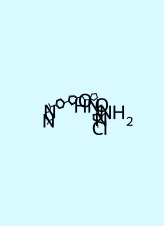 CC(c1ccc(-c2ccc(CO[C@H]3CCC[C@@H]3NC(=O)c3ccc(Cl)nc3N)cc2)cc1)N1CCN(C)CC1